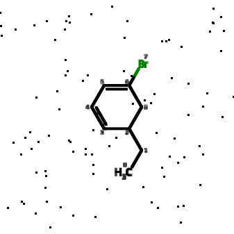 CCC1C=CC=C(Br)C1